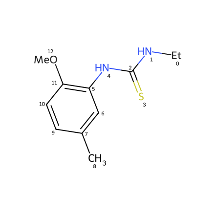 CCNC(=S)Nc1cc(C)ccc1OC